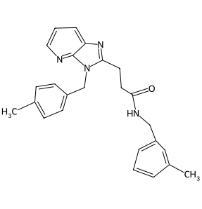 Cc1ccc(Cn2c(CCC(=O)NCc3cccc(C)c3)nc3cccnc32)cc1